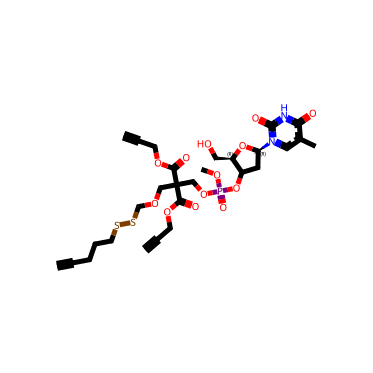 C#CCCCSSCOCC(COP(=O)(OC)OC1C[C@H](n2cc(C)c(=O)[nH]c2=O)O[C@@H]1CO)(C(=O)OCC#C)C(=O)OCC#C